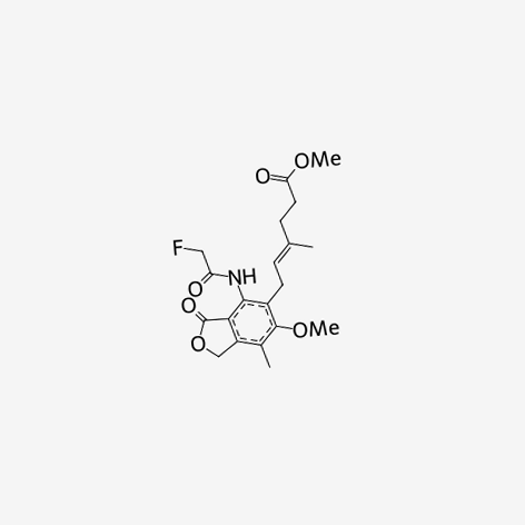 COC(=O)CC/C(C)=C/Cc1c(NC(=O)CF)c2c(c(C)c1OC)COC2=O